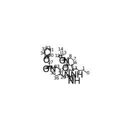 CCCCC1(C2CCCN(OC(C)(C)C)C2)NC(=N)N(CC2CCN(C(=O)COc3ccccc3)CC2)C1=O